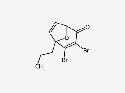 CCCC12C=CC(O1)C(=O)C(Br)=C2Br